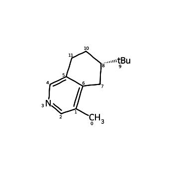 Cc1cncc2c1C[C@@H](C(C)(C)C)CC2